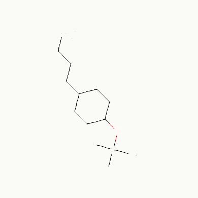 CCOC(=O)CCCC1CCC(O[Si](C)(C)C(C)(C)C)CC1